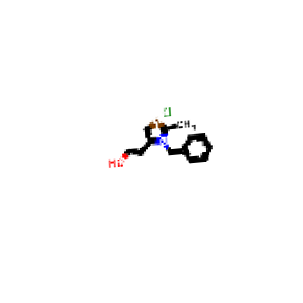 Cc1scc(CCO)[n+]1Cc1ccccc1.[Cl-]